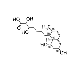 C[C@H]1C=CC2=C[C@@H](O)C[C@H](O)[C@@H]2[C@H]1CCCCC(O)C(O)C(=O)O